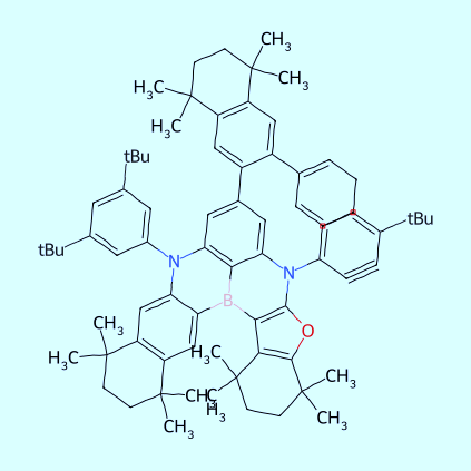 CC(C)(C)c1c#cc(N2c3cc(-c4cc5c(cc4C4=CCCC=C4)C(C)(C)CCC5(C)C)cc4c3B(c3cc5c(cc3N4c3cc(C(C)(C)C)cc(C(C)(C)C)c3)C(C)(C)CCC5(C)C)c3c2oc2c3C(C)(C)CCC2(C)C)cc1